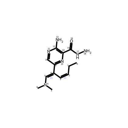 CC/C=C\C(=C/N(C)C)c1cnc(N)c(C(=O)NN)n1